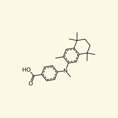 Cc1cc2c(cc1N(C)c1ccc(C(=O)O)cc1)C(C)(C)CCC2(C)C